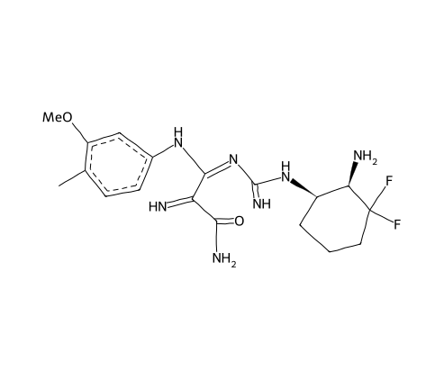 COc1cc(N/C(=N/C(=N)N[C@@H]2CCCC(F)(F)[C@@H]2N)C(=N)C(N)=O)ccc1C